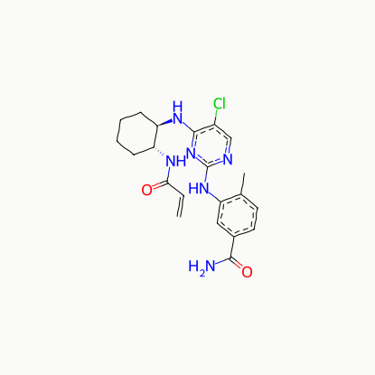 C=CC(=O)N[C@@H]1CCCC[C@H]1Nc1nc(Nc2cc(C(N)=O)ccc2C)ncc1Cl